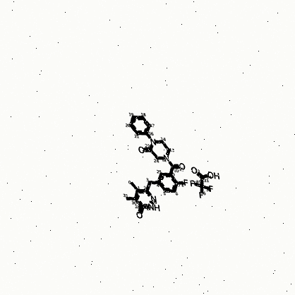 Cc1c(Cc2ccc(F)c(C(=O)N3CCN(c4ccccc4)C(=O)C3)c2)n[nH]c(=O)c1C.O=C(O)C(F)(F)F